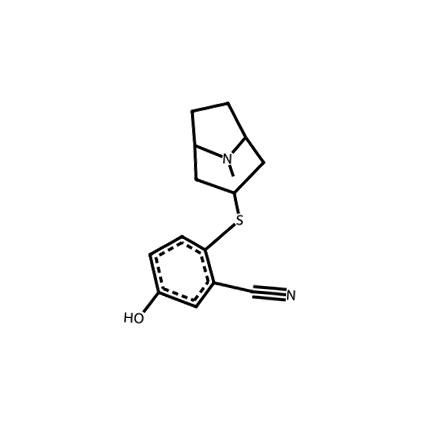 CN1C2CCC1CC(Sc1ccc(O)cc1C#N)C2